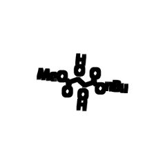 CCCCOC(=O)[C@H](O)[C@@H](O)C(=O)OC